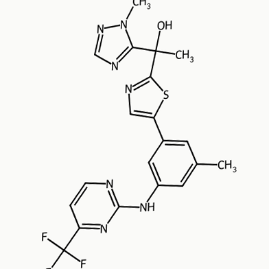 Cc1cc(Nc2nccc(C(F)(F)F)n2)cc(-c2cnc(C(C)(O)c3ncnn3C)s2)c1